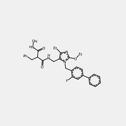 CCOc1nc(CC)c(CNC(=O)C(CC(C)C)C(=O)NO)n1Cc1ccc(-c2ccccc2)cc1F